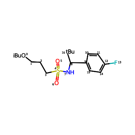 CC(C)COCCCS(=O)(=O)NC(c1ccc(F)cc1)C(C)(C)C